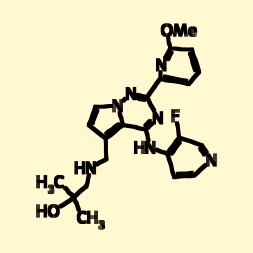 COc1cccc(-c2nc(Nc3ccncc3F)c3c(CNCC(C)(C)O)ccn3n2)n1